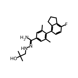 Cc1cc(/C(N)=N/NCC(C)(C)O)cc(C)c1-c1ccc(F)c2c1CCC2